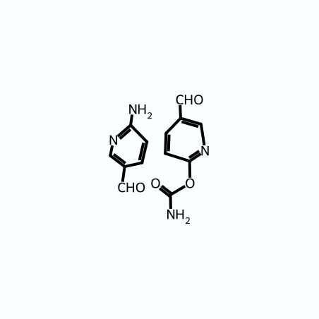 NC(=O)Oc1ccc(C=O)cn1.Nc1ccc(C=O)cn1